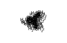 Bc1cc(N(c2c(B)c(B)c(-c3c(B)c(B)c(B)c(B)c3B)c(B)c2B)c2c(B)c(B)c3c(c2B)C(C)(C)c2c-3c(B)c3c(B)c(B)c(B)c(B)c3c2B)c(B)c2c1-c1c(B)c(B)c(B)c(B)c1C(C)(C)C2(C)C